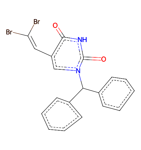 O=c1[nH]c(=O)n(C(c2ccccc2)c2ccccc2)cc1C=C(Br)Br